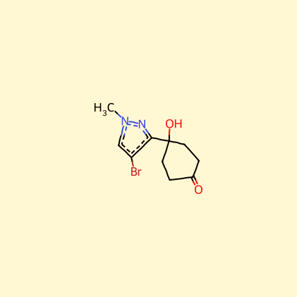 Cn1cc(Br)c(C2(O)CCC(=O)CC2)n1